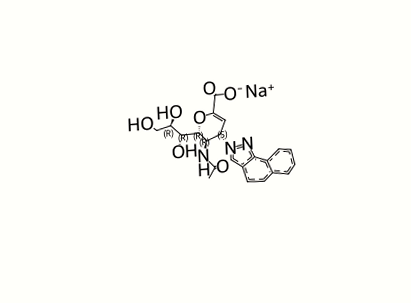 CC(=O)N[C@H]1[C@H]([C@H](O)[C@H](O)CO)OC(C(=O)[O-])=C[C@@H]1n1cc2ccc3ccccc3c2n1.[Na+]